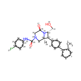 Cc1ccccc1-c1ccc(C2[C@@H](CO)N3C(=O)CN(C(=O)Nc4ccc(F)cc4)C[C@H]23)cc1